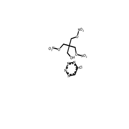 Cl.O=[N+]([O-])OCC(CO)(CO[N+](=O)[O-])CO[N+](=O)[O-].c1cnnnn1